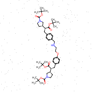 CC(C)(C)OC(=O)[C@@H](Cc1ccc(CNCCOc2ccc(C[C@H](C(=O)OC(C)(C)C)[C@H]3CCN(C(=O)OC(C)(C)C)C3)cc2)cc1)[C@H]1CCN(C(=O)OC(C)(C)C)C1